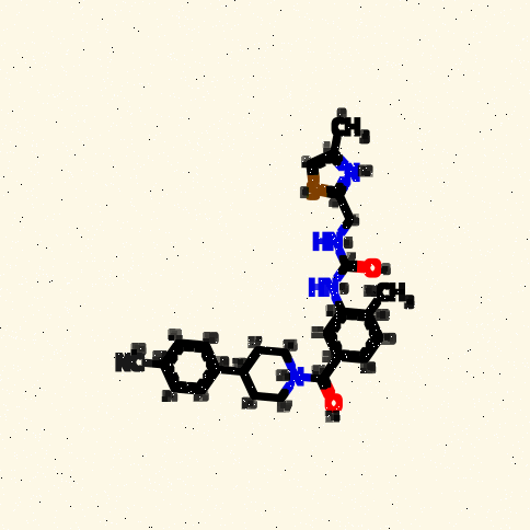 Cc1csc(CNC(=O)Nc2cc(C(=O)N3CCC(c4ccc(C#N)cc4)CC3)ccc2C)n1